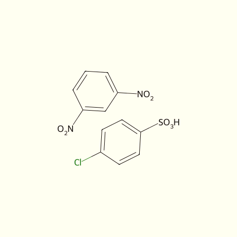 O=S(=O)(O)c1ccc(Cl)cc1.O=[N+]([O-])c1cccc([N+](=O)[O-])c1